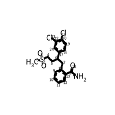 CS(=O)(=O)CCC(Cc1ccccc1C(N)=O)c1ccc(Cl)c(Cl)c1